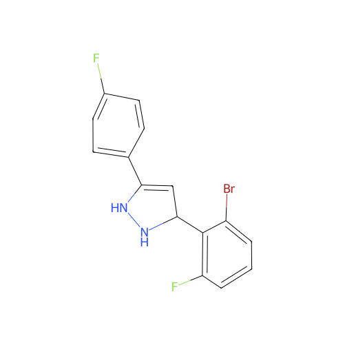 Fc1ccc(C2=CC(c3c(F)cccc3Br)NN2)cc1